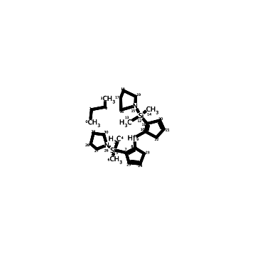 CCCC.C[Si](C)(C1=[C]([Hf][C]2=C([Si](C)(C)N3CCCC3)C=CC2)CC=C1)N1CCCC1